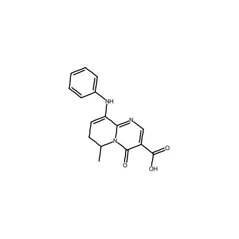 CC1CC=C(Nc2ccccc2)c2ncc(C(=O)O)c(=O)n21